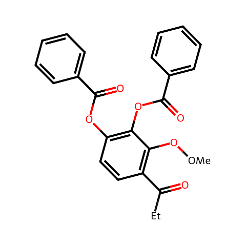 CCC(=O)c1ccc(OC(=O)c2ccccc2)c(OC(=O)c2ccccc2)c1OOC